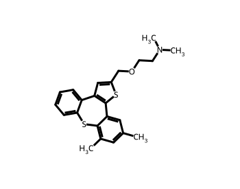 Cc1cc(C)c2c(c1)-c1sc(COCCN(C)C)cc1-c1ccccc1S2